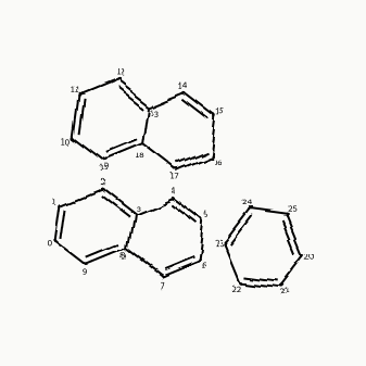 c1ccc2ccccc2c1.c1ccc2ccccc2c1.c1ccccc1